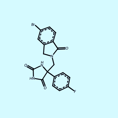 O=C1NC(=O)C(CN2Cc3cc(Br)ccc3C2=O)(c2ccc(F)cc2)N1